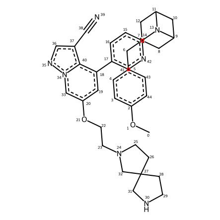 COc1ccc(CN2CC3CC(C2)N3c2ccc(-c3cc(OCCN4CCC5(CCNC5)C4)cn4ncc(C#N)c34)cn2)cc1